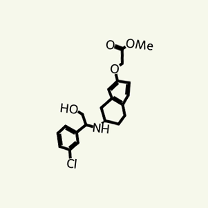 COC(=O)COc1ccc2c(c1)C[C@H](NC(CO)c1cccc(Cl)c1)CC2